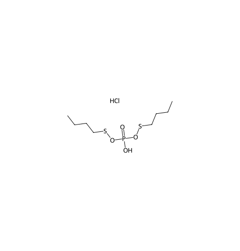 CCCCSOP(=O)(O)OSCCCC.Cl